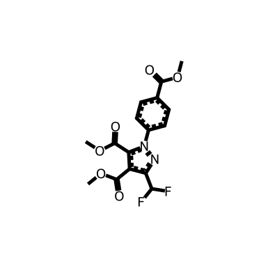 COC(=O)c1ccc(-n2nc(C(F)F)c(C(=O)OC)c2C(=O)OC)cc1